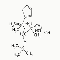 CC(C)(C)[NH][Zr]([CH3])(=[SiH2])([CH2]CO[Si](C)(C)C)[C]1=CC=CC1.Cl.Cl